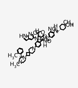 Cc1ccccc1[C@@H]1CN(C)CCN1C1CC2(CCN(c3ccc(C(=O)NS(=O)(=O)c4ccc(NC[C@H]5CC[C@](C)(O)CC5)c([N+](=O)[O-])c4)c(N4c5cc6cc[nH]c6nc5O[C@H]5COCC[C@@H]54)c3)CC2)C1